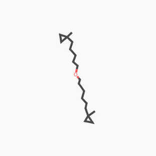 CC1(CCCCCCOCCCCCC2(C)CC2)CC1